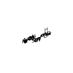 Cn1ccc(-c2ccc3nnc(Sc4ccc5ncc(C6CCC(NC(=O)OC(C)(C)C)C6)cc5c4)n3c2)n1